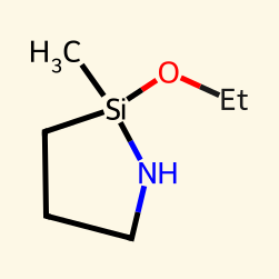 CCO[Si]1(C)CCCN1